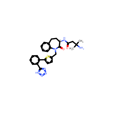 CC(C)(N)CC(=O)N[C@@H]1CCc2ccccc2N(Cc2ccc(-c3ccccc3-c3nnn[nH]3)s2)C1=O